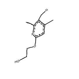 Cc1cc(OCCO)nc(C)c1C[O]